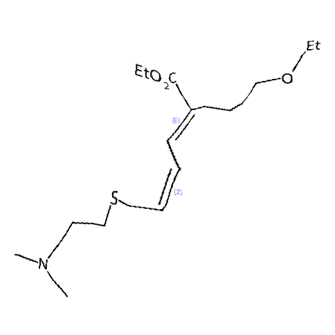 CCOCC/C(=C\C=C/SCCN(C)C)C(=O)OCC